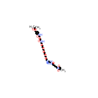 CC(C)C(=O)OCc1ccc(NC(=O)COCC(=O)NCCOCCOCCOCCOCCOCCn2cc(CNC(=O)CCCCCN3C(=O)C[C@H](C)C3=O)nn2)cc1